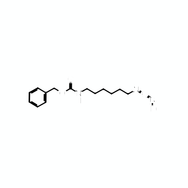 CCN=C=NCCCCCCNC(=O)OCc1ccccc1